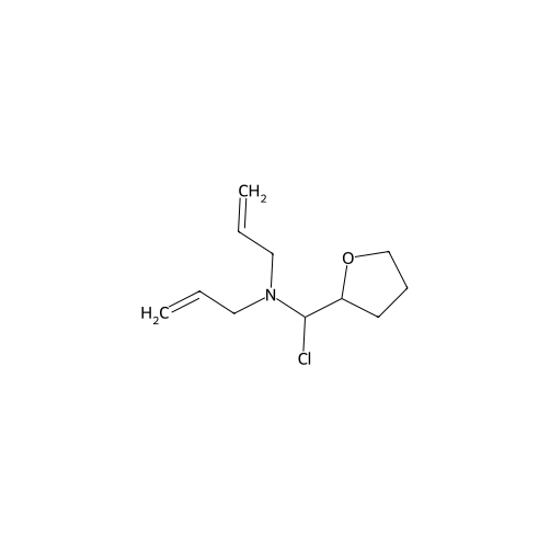 C=CCN(CC=C)C(Cl)C1CCCO1